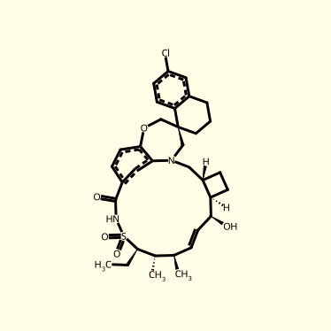 CC[C@@H]1[C@@H](C)[C@H](C)/C=C/[C@H](O)[C@@H]2CC[C@H]2CN2C[C@@]3(CCCc4cc(Cl)ccc43)COc3ccc(cc32)C(=O)NS1(=O)=O